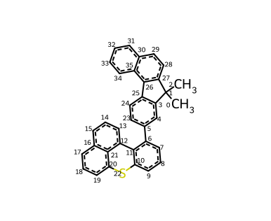 CC1(C)c2cc(-c3cccc4c3-c3cccc5cccc(c35)S4)ccc2-c2c1ccc1ccccc21